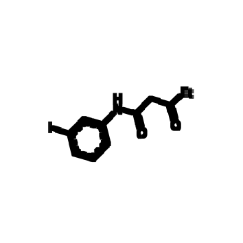 CCC(=O)CC(=O)Nc1cccc(I)c1